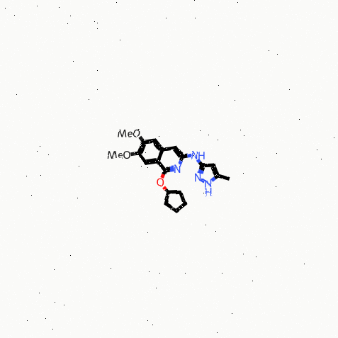 COc1cc2cc(Nc3cc(C)[nH]n3)nc(OC3CCCC3)c2cc1OC